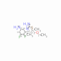 CCOC[C@@]1(C)C[C@@](C)(c2cc(N)cc(F)c2F)N=C(N)S1